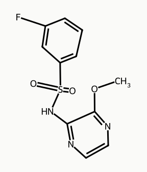 COc1nccnc1NS(=O)(=O)c1cccc(F)c1